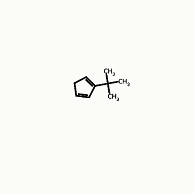 CC(C)(C)C1=CCC=C1